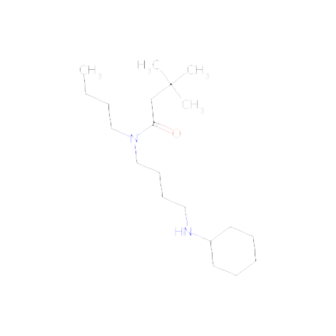 CCCCN(CCCCNC1CCCCC1)C(=O)CC(C)(C)C